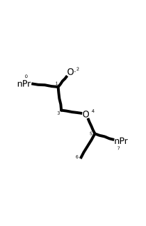 CCCC([O])COC(C)CCC